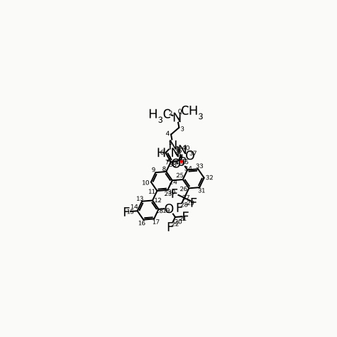 CN(C)CCn1cc(-c2ccc(-c3cc(F)ccc3OC(F)F)cc2-c2c(C(F)(F)F)cccc2S(N)(=O)=O)cn1